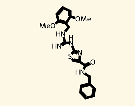 COc1cccc(OC)c1CNC(=N)Nc1nc(C(=O)NCc2ccccc2)cs1